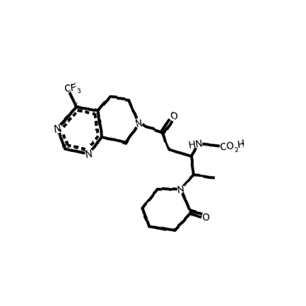 CC(C(CC(=O)N1CCc2c(ncnc2C(F)(F)F)C1)NC(=O)O)N1CCCCC1=O